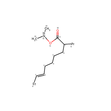 CCC=CCCCCC(CCC)C(=O)O[SiH](C)C